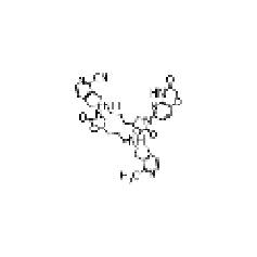 Cc1nccc2c1CC(NCCCC1CN(C3(NCCCC4CN(c5ccc6c(n5)NC(=O)CO6)C(=O)O4)Cc4ccnc(C#N)c4C3)C(=O)O1)C2